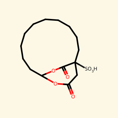 O=C1CC2(S(=O)(=O)O)CCCCCCCCCCC(O1)OC2=O